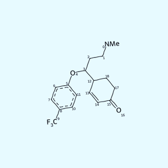 CNCCC(Oc1ccc(C(F)(F)F)cc1)C1C=CC(=O)CC1